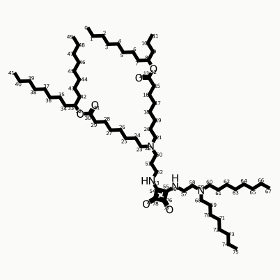 CCCCCCCCC(CCC)OC(=O)CCCCCCCN(CCCCCCCC(=O)OC(CCCCCCCC)CCCCCCCC)CCCNc1c(NCCN(CCCCCCCC)CCCCCCCC)c(=O)c1=O